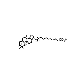 CC1(C)C[C@H]2C(=CC1=O)CC[C@H]1C3=CC[C@@](O)(CCCCCCCCCCC(=O)O)[C@@]3(C)CC[C@H]21